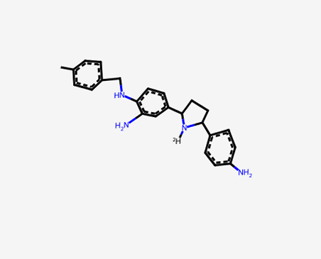 [2H]N1C(c2ccc(N)cc2)CCC1c1ccc(NCc2ccc(C)cc2)c(N)c1